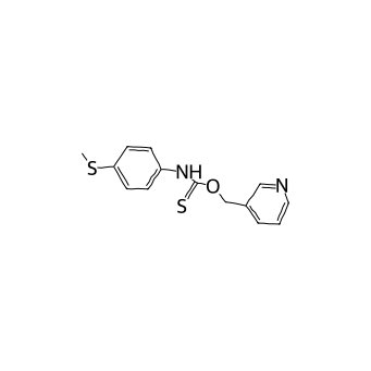 CSc1ccc(NC(=S)OCc2cccnc2)cc1